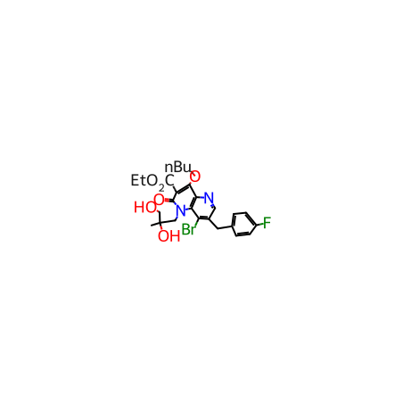 CCCCOc1c(C(=O)OCC)c(=O)n(CC(C)(O)CO)c2c(Br)c(Cc3ccc(F)cc3)cnc12